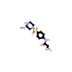 C=CC(=O)Nc1ccc(S(=O)(=O)N2CCN[C@@H](C(C)C)C2)cc1